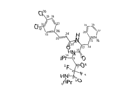 CCCNC(=O)C(F)(F)C(=O)C(NC(=O)C(Cc1ccccc1)NC(=O)C=Cc1ccc(Cl)c(Cl)c1)C(C)C